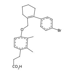 Cc1c(CCC(=O)O)ccc(OCC2=C(c3ccc(Br)cc3)CCCC2)c1C